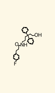 O=C(CCc1ccc(F)cc1)NCCCC(CCO)(c1ccccc1)c1ccccc1